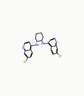 Clc1ccc2c(N[C@@H]3CCCC[C@H]3Nc3ccnc4cc(Cl)ccc34)ccnc2c1